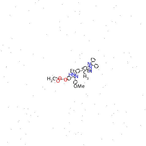 C=CC(=O)OCCOc1ccc(-c2[nH]c(-c3cc(CC45CC4=CC(c4nc(-c6ccccc6)c(-c6ccccc6)[nH]4)=C(CC)C5C)ccc3CC)nc2-c2ccc(OC)cc2)cc1